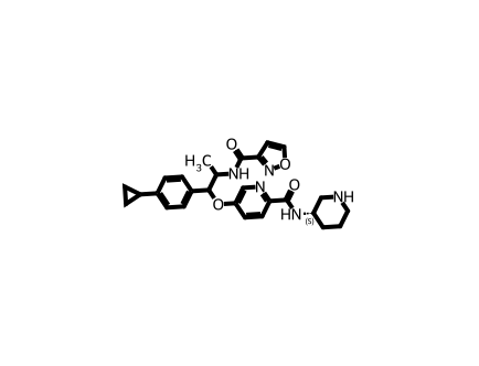 CC(NC(=O)c1ccon1)C(Oc1ccc(C(=O)N[C@H]2CCCNC2)nc1)c1ccc(C2CC2)cc1